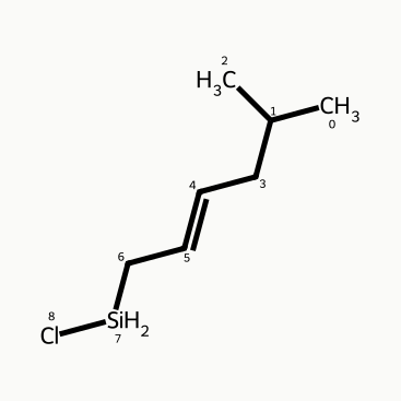 CC(C)CC=CC[SiH2]Cl